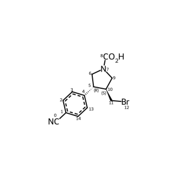 N#Cc1ccc([C@@H]2CN(C(=O)O)C[C@H]2CBr)cc1